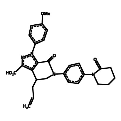 C=CCC1CN(c2ccc(N3CCCCC3=O)cc2)C(=O)c2c1c(C(=O)O)nn2-c1ccc(OC)cc1